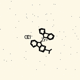 CC(C)c1ccc2c(c1)[CH]([Zr+2][CH]1c3ccccc3-c3ccccc31)c1ccccc1-2.[Cl-].[Cl-]